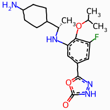 CC(C)Oc1c(F)cc(-c2n[nH]c(=O)o2)cc1N[C@@H](C)C1CCC(N)CC1